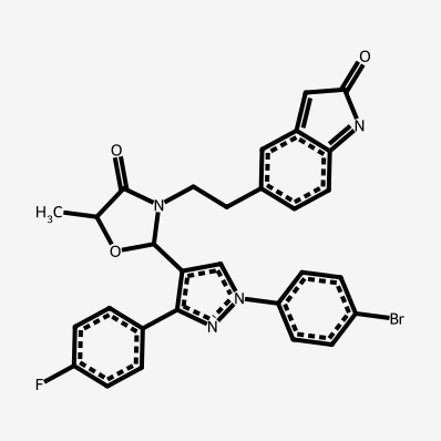 CC1OC(c2cn(-c3ccc(Br)cc3)nc2-c2ccc(F)cc2)N(CCc2ccc3c(c2)=CC(=O)N=3)C1=O